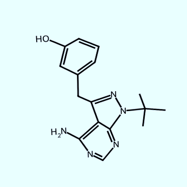 CC(C)(C)n1nc(Cc2cccc(O)c2)c2c(N)ncnc21